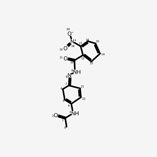 CC(=O)NC1=CCC(=NNC(=O)c2ccccc2[N+](=O)[O-])C=C1